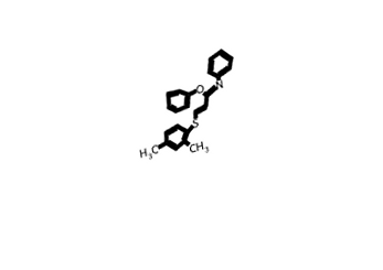 Cc1ccc(S/C=C/C(=N/c2ccccc2)Oc2ccccc2)c(C)c1